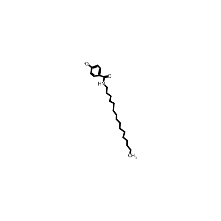 CCCCCCCCCCCCCCCCNC(=O)c1ccc([O])cc1